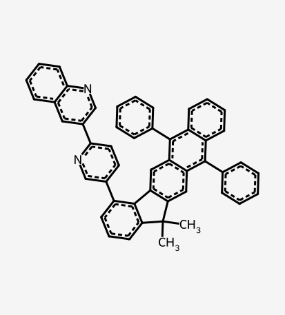 CC1(C)c2cc3c(-c4ccccc4)c4ccccc4c(-c4ccccc4)c3cc2-c2c(-c3ccc(-c4cnc5ccccc5c4)nc3)cccc21